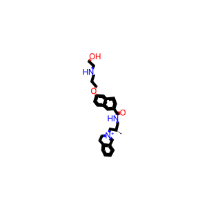 C[C@@H](CNC(=O)c1ccc2cc(OCCCNCCO)ccc2c1)C[N+]1=Cc2ccccc2CC1